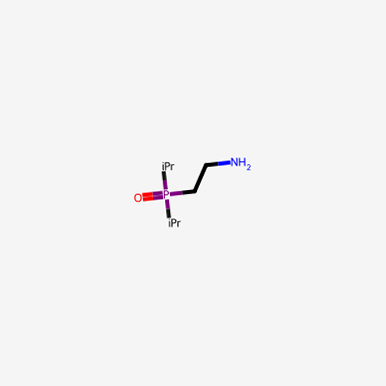 CC(C)P(=O)(CCN)C(C)C